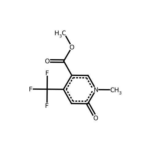 COC(=O)c1cn(C)c(=O)cc1C(F)(F)F